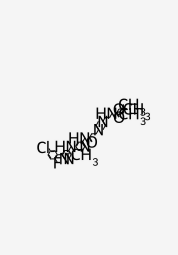 Cc1nnc(-c2cc(Cl)ccc2F)cc1Nc1ccnc(NC(=O)CCN2CCN(CCNC(=O)OC(C)(C)C)CC2)c1